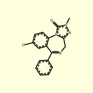 Cn1nc2n(c1=O)-c1ccc(Cl)cc1C(c1ccccc1)=NC2